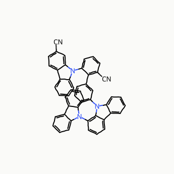 N#Cc1ccc2c3ccccc3n(-c3cccc(C#N)c3-c3cccc(-n4c5ccccc5c5cccc(-n6c7ccccc7c7ccccc76)c54)c3)c2c1